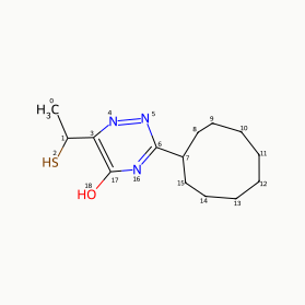 CC(S)c1nnc(C2CCCCCCCC2)nc1O